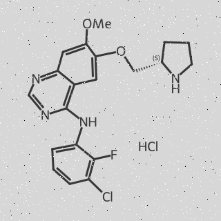 COc1cc2ncnc(Nc3cccc(Cl)c3F)c2cc1OC[C@@H]1CCCN1.Cl